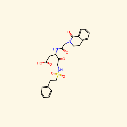 O=C(O)CC(NC(=O)CN1CCc2ccccc2C1=O)C(=O)CNS(=O)(=O)CCc1ccccc1